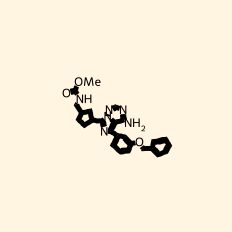 COC(=O)NCC1CCC(c2nc(-c3cccc(OCc4ccccc4)c3)c3c(N)ncnn23)C1